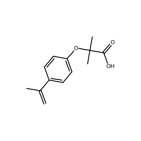 C=C(C)c1ccc(OC(C)(C)C(=O)O)cc1